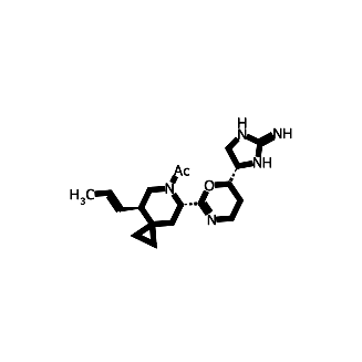 C/C=C/[C@H]1CN(C(C)=O)[C@H](C2=NCCC([C@@H]3CNC(=N)N3)O2)CC12CC2